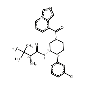 CC(C)(C)[C@H](N)C(=O)N[C@@H]1CN(C(=O)c2cccn3cncc23)CC[C@H]1c1cccc(Cl)c1